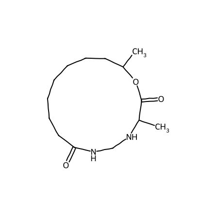 CC1CCCCCCCC(=O)NCNC(C)C(=O)O1